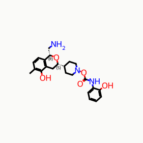 Cc1ccc2c(c1O)C[C@@H](C1CCN(OC(=O)Nc3ccccc3O)CC1)O[C@H]2CN